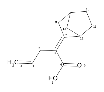 C=CCC(C(=O)O)=C1CC2CCC1C2